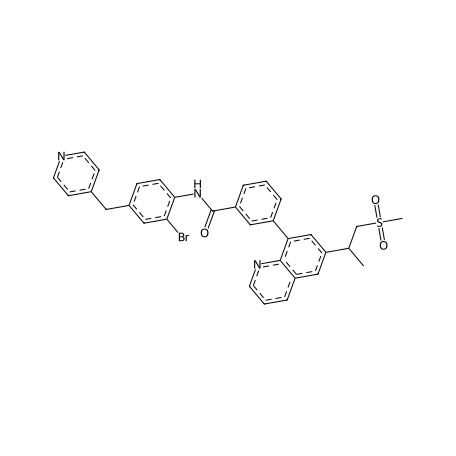 CC(CS(C)(=O)=O)c1cc(-c2cccc(C(=O)Nc3ccc(Cc4ccncc4)cc3Br)c2)c2ncccc2c1